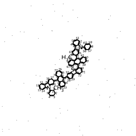 CC1CC=CC=C1n1c2c(c3ccccc31)=CCC(c1c3ccccc3c(-c3ccc4c(c3)sc3c(-c5c6ccccc6c(C6C=c7c(c8ccccc8n7-c7ccccc7)=CC6C)c6ccccc56)cccc34)c3ccccc13)C=2